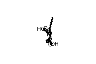 CCCCCCCCCCOc1ccc(CCOc2ccccc2CC(=O)O)nc1C=CCC(=O)O